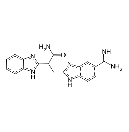 N=C(N)c1ccc2[nH]c(CC(C(N)=O)c3nc4ccccc4[nH]3)nc2c1